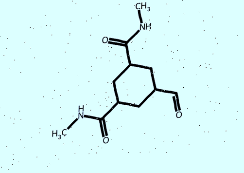 CNC(=O)C1CC(C=O)CC(C(=O)NC)C1